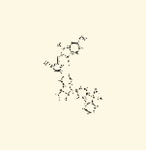 CCN1/C(=C/c2sc(-c3ccc4c(c3)C3CCCC3N4c3ccc4c(c3)-c3ccccc3C4(C)C)cc2C)C(=O)c2ccc(C(=O)O)cc21